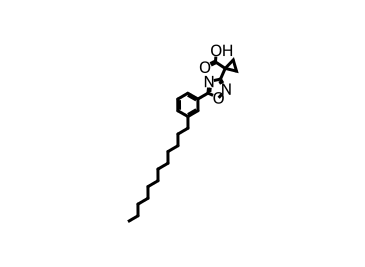 CCCCCCCCCCCCc1cccc(-c2nc(C3(C(=O)O)CC3)no2)c1